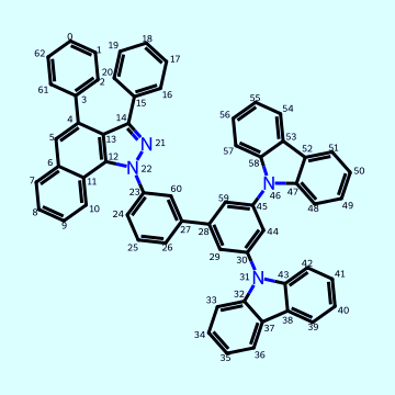 c1ccc(-c2cc3ccccc3c3c2c(-c2ccccc2)nn3-c2cccc(-c3cc(-n4c5ccccc5c5ccccc54)cc(-n4c5ccccc5c5ccccc54)c3)c2)cc1